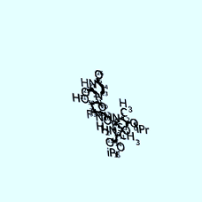 CC(C)OC(=O)[C@H](C)NP(=S)(N[C@@H](C)C(=O)OC(C)C)OC[C@@]1(N)O[C@@H](n2ccc(=O)[nH]c2=O)[C@H](O)[C@@H]1F